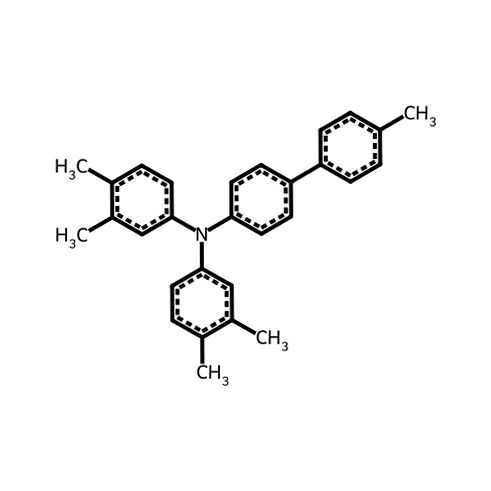 Cc1ccc(-c2ccc(N(c3ccc(C)c(C)c3)c3ccc(C)c(C)c3)cc2)cc1